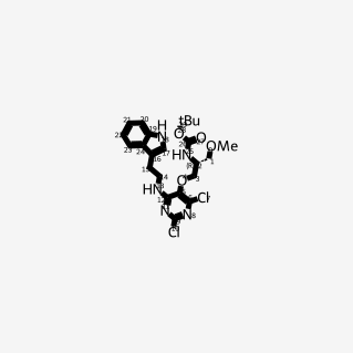 COC[C@H](COc1c(Cl)nc(Cl)nc1NCCc1c[nH]c2ccccc12)NC(=O)OC(C)(C)C